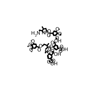 COc1cc(C(=O)OCCC(C)C(CN(C)Oc2ccc(S(=O)(=O)O)cc2C(=O)O)N(C)Oc2ccc(S(=O)(=O)O)cc2C(=O)O)cc(OC)c1OC.COc1cc(C(=O)OCCC(C)C(N)CN)cc(OC)c1OC